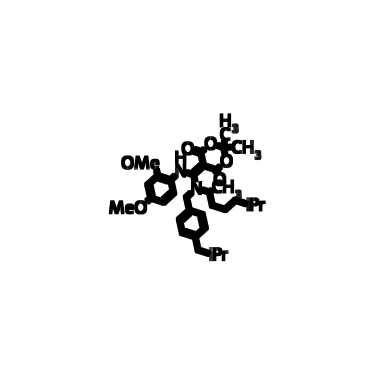 COc1ccc(NC(=C2C(=O)OC(C)(C)OC2=O)N(Cc2ccc(CC(C)C)cc2)C(C)CCCC(C)C)c(OC)c1